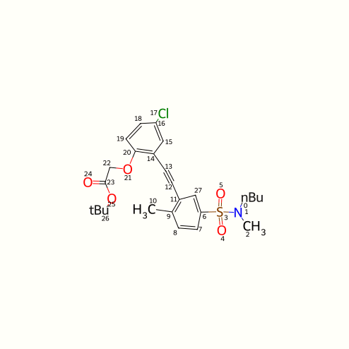 CCCCN(C)S(=O)(=O)c1ccc(C)c(C#Cc2cc(Cl)ccc2OCC(=O)OC(C)(C)C)c1